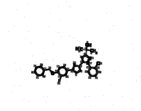 CC(C)(O)c1cc(-c2ccc(-c3ccc(OCc4ccccc4)c(F)c3)s2)n(-c2ccccc2Cl)n1